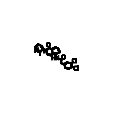 Cc1ncccc1-n1ccc2c(NC(=O)Cc3ccc(Cl)c(Cl)c3)cccc2c1=O